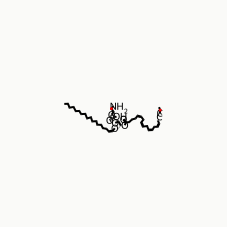 CCCCC/C=C\C/C=C\C/C=C\C/C=C\CCCC(=O)O[C@H](CO/C=C\CCCCCCCCCCCCCCCC)COP(=O)(O)OCCN